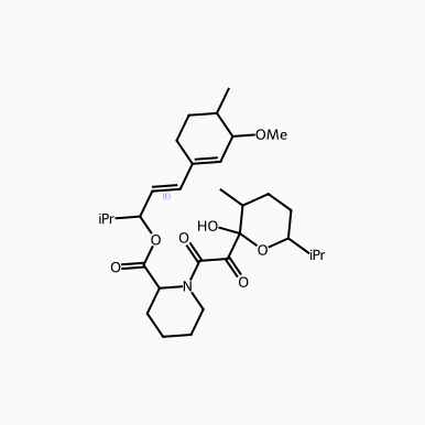 COC1C=C(/C=C/C(OC(=O)C2CCCCN2C(=O)C(=O)C2(O)OC(C(C)C)CCC2C)C(C)C)CCC1C